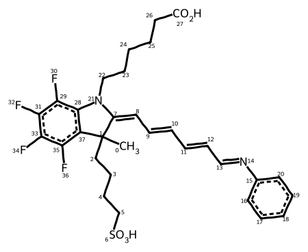 CC1(CCCCS(=O)(=O)O)C(=CC=CC=CC=Nc2ccccc2)N(CCCCCC(=O)O)c2c(F)c(F)c(F)c(F)c21